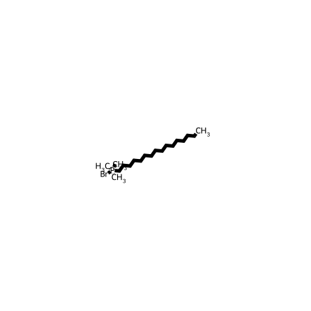 CCCCCCCCCCCCCCCCP(C)(C)(C)Br